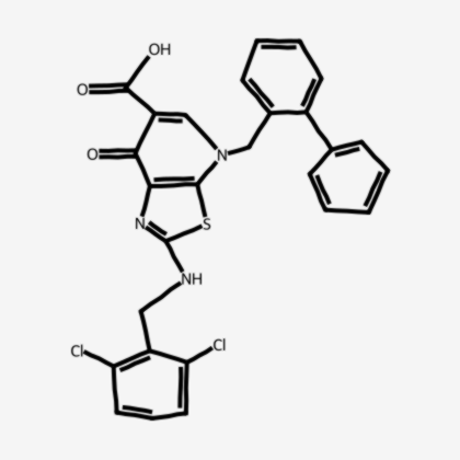 O=C(O)c1cn(Cc2ccccc2-c2ccccc2)c2sc(NCc3c(Cl)cccc3Cl)nc2c1=O